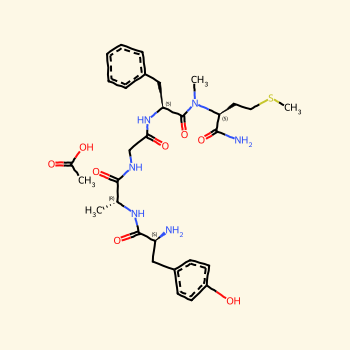 CC(=O)O.CSCC[C@@H](C(N)=O)N(C)C(=O)[C@H](Cc1ccccc1)NC(=O)CNC(=O)[C@@H](C)NC(=O)[C@@H](N)Cc1ccc(O)cc1